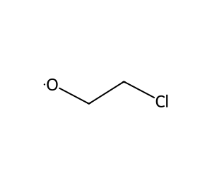 [O]CCCl